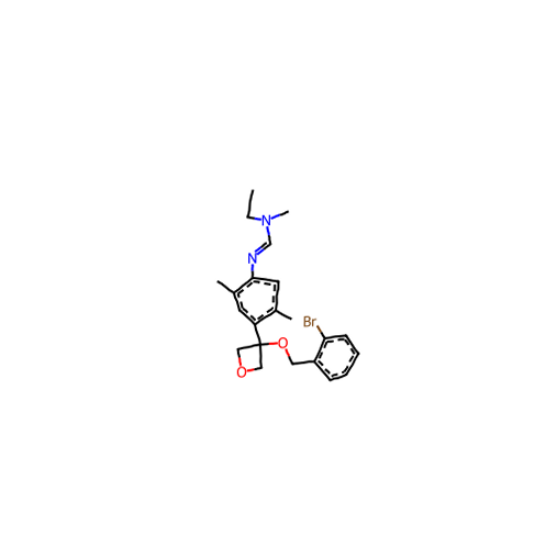 CCN(C)C=Nc1cc(C)c(C2(OCc3ccccc3Br)COC2)cc1C